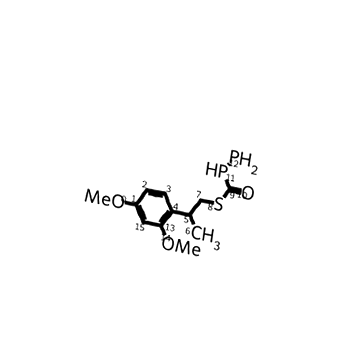 COc1ccc(C(C)CSC(=O)PP)c(OC)c1